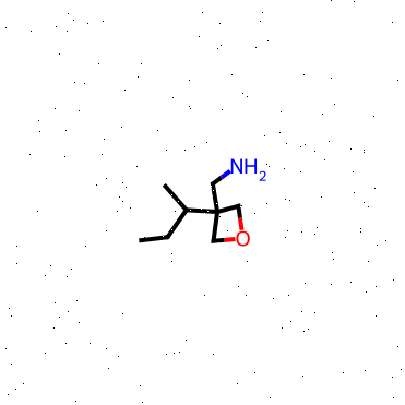 CCC(C)C1(CN)COC1